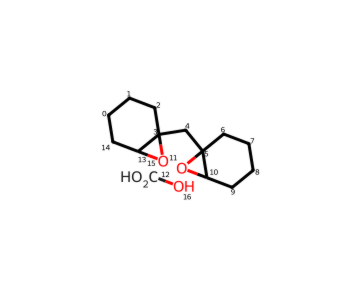 C1CCC2(CC34CCCCC3O4)OC2C1.O=C(O)O